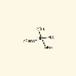 CCCCC[PH](CC)(CCCC)CCCC